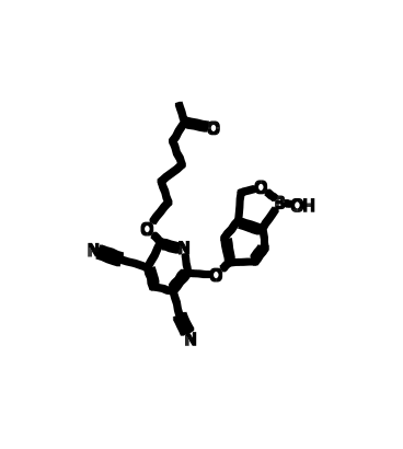 CC(=O)CCCCOc1nc(Oc2ccc3c(c2)COB3O)c(C#N)cc1C#N